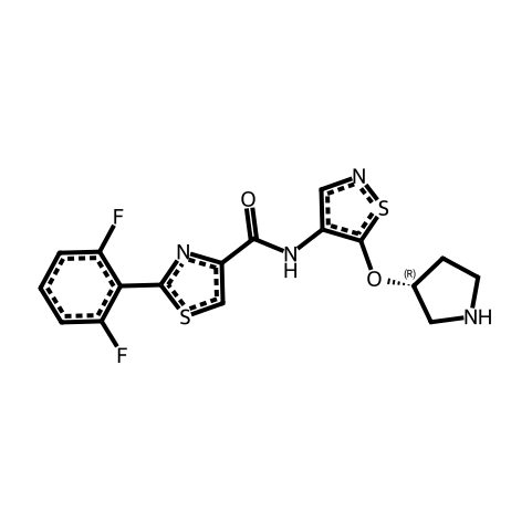 O=C(Nc1cnsc1O[C@@H]1CCNC1)c1csc(-c2c(F)cccc2F)n1